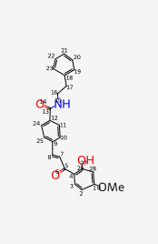 COc1ccc(C(=O)/C=C/c2ccc(C(=O)NCCc3ccccc3)cc2)c(O)c1